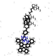 CC(C)CCCC[C@H]1CC[C@H]2[C@@H]3CCC4CC(c5ccc(-c6nc(-c7ccccc7)nc(-n7c8ccccc8c8ccc9c(c87)-c7ccccc7C97c8ccccc8-c8ccccc87)n6)cc5)CC[C@]4(C)[C@H]3CC[C@]12C